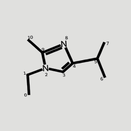 CCn1cc(C(C)C)nc1C